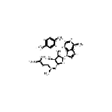 C[S+](CCC(N)C(=O)[O-])C[C@H]1O[C@@H](n2cnc3c(N)ncnc32)[C@H](O)[C@@H]1O.Cc1ccc(S(=O)(=O)O)cc1